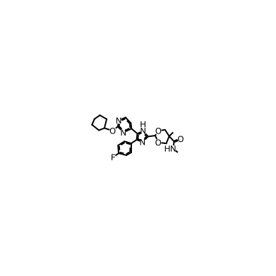 CNC(=O)C1(C)COC(c2nc(-c3ccc(F)cc3)c(-c3ccnc(OC4CCCCC4)n3)[nH]2)OC1